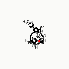 CC(=O)c1nn2c3c(cc(-c4cnc(C)nc4)cc13)CCCCCNC(=O)NC[C@@]13C[C@@H](C(=O)Nc4nc(C(F)(F)F)ccc4C)N(C(=O)C2)[C@@H]1C3